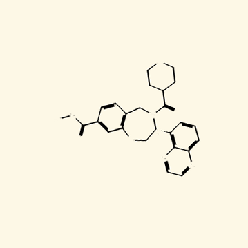 O=C(NO)c1ccc2c(c1)OC[C@H](c1cccc3nccnc13)N(C(=O)C1CCOCC1)C2